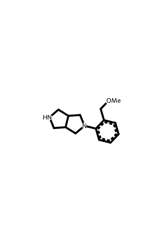 COCc1ccccc1N1CC2CNCC2C1